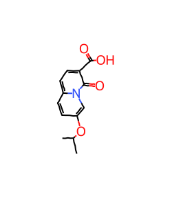 CC(C)Oc1ccc2ccc(C(=O)O)c(=O)n2c1